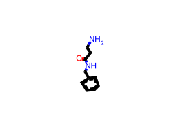 NCCC(=O)NCc1cc[c]cc1